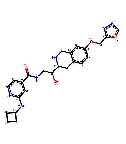 O=C(NCC(O)[C@@H]1Cc2ccc(OCc3cnco3)cc2CN1)c1ccnc(NC2CCC2)c1